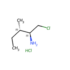 CC[C@H](C)[C@H](N)CCl.Cl